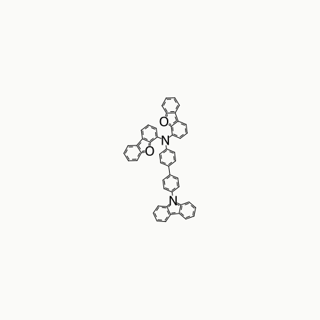 c1ccc2c(c1)oc1c(N(c3ccc(-c4ccc(-n5c6ccccc6c6ccccc65)cc4)cc3)c3cccc4c3oc3ccccc34)cccc12